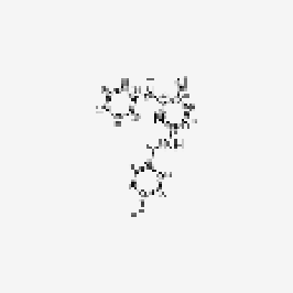 Fc1ccc(CNc2ncc(Cl)c(Nc3[c]cccc3)n2)cc1